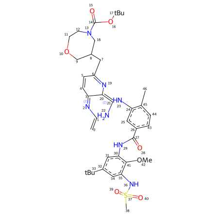 C=C/N=C1/C=CC(CC2COCCN(C(=O)OC(C)(C)C)C2)=N/C1=C(/N)Nc1cc(C(=O)Nc2cc(C(C)(C)C)cc(NS(C)(=O)=O)c2OC)ccc1C